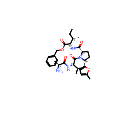 CC[C@H](C)[C@H](NC(=O)[C@@H]1CC[C@H](c2ccc(C)o2)N1C(=O)[C@@H](NC(=O)[C@H](C)N)C(C)C)C(=O)OCc1ccccc1